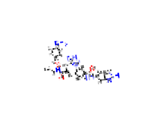 CCCN(OCc1ccc(N)cc1)C(=O)C1=Cc2ccc(C(=O)NC3Cc4c[nH]nc4C3)cc2N=C(N)C1